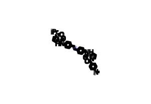 CC(C)C(=O)N1CCC[C@H]1C(=O)Nc1ccc(/C=C/c2ccc(NC(=O)[C@@H]3CCCN3C(=O)c3ccc(N(C)C)cc3)cc2)cc1